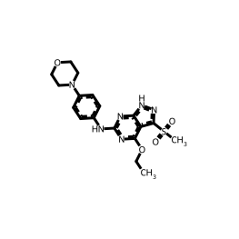 CCOc1nc(Nc2ccc(N3CCOCC3)cc2)nc2[nH]nc(S(C)(=O)=O)c12